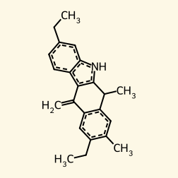 C=C1c2cc(CC)c(C)cc2C(C)c2[nH]c3cc(CC)ccc3c21